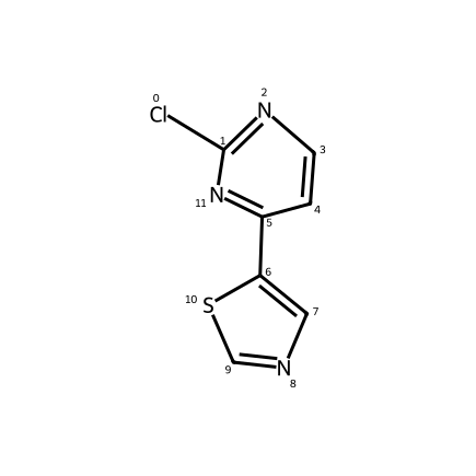 Clc1nccc(-c2cncs2)n1